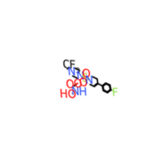 O=C(NO)O[C@@H]1CN(CC(F)(F)F)CCN1S(=O)(=O)N1CC=C(c2ccc(F)cc2)CC1